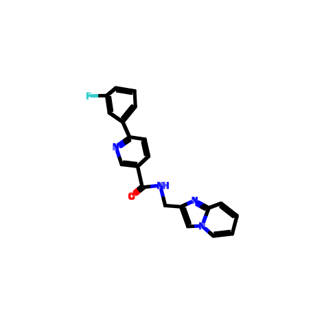 O=C(NCc1cn2ccccc2n1)c1ccc(-c2cccc(F)c2)nc1